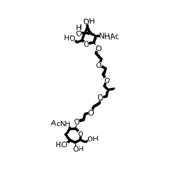 CC(=O)NC1CC(O)[C@@H](O)C(CO)O[C@H]1OCCOCCOCC(C)COCCOCCO[C@@H]1OC(CO)C2(O)C(O)C2C1NC(C)=O